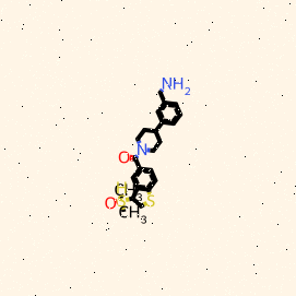 C[SH](C)(=O)C1CSc2ccc(C(=O)N3CCC(c4cccc(CN)c4)CC3)cc21